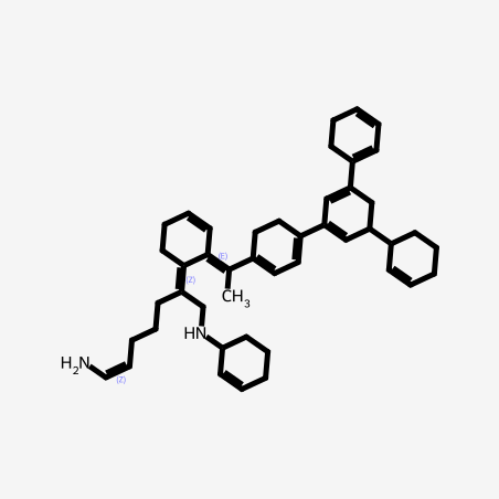 C/C(C1=CC=C(C2=CC(C3C=CCCC3)CC(C3=CC=CCC3)=C2)CC1)=C1/C=CCC/C1=C(\CCC/C=C\N)CNC1C=CCCC1